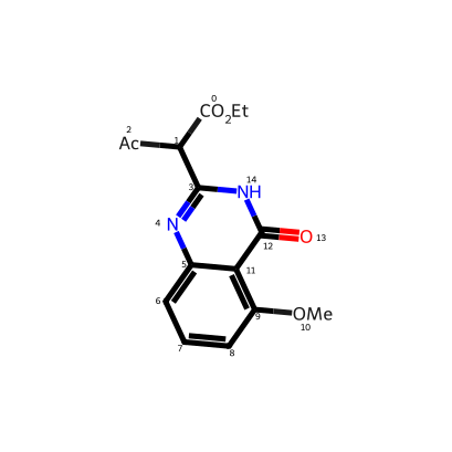 CCOC(=O)C(C(C)=O)c1nc2cccc(OC)c2c(=O)[nH]1